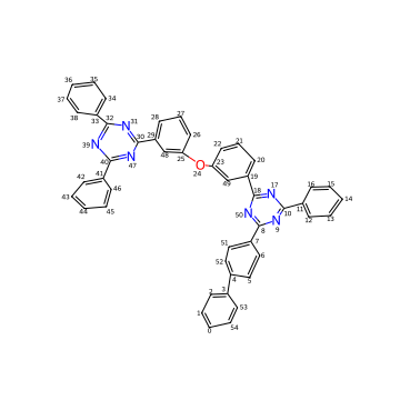 c1ccc(-c2ccc(-c3nc(-c4ccccc4)nc(-c4cccc(Oc5cccc(-c6nc(-c7ccccc7)nc(-c7ccccc7)n6)c5)c4)n3)cc2)cc1